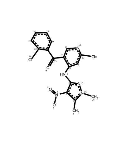 Cc1c([N+](=O)[O-])c(Nc2cc(Cl)ncc2C(=O)c2ccccc2Cl)nn1C